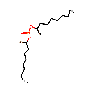 CCCCCCCC(Br)O[PH](=O)OC(Br)CCCCCCC